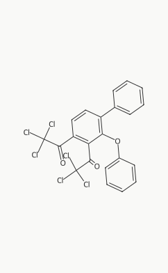 O=C(c1ccc(-c2ccccc2)c(Oc2ccccc2)c1C(=O)C(Cl)(Cl)Cl)C(Cl)(Cl)Cl